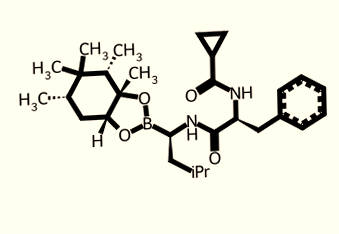 CC(C)C[C@H](NC(=O)[C@H](Cc1ccccc1)NC(=O)C1CC1)B1O[C@@H]2C[C@H](C)C(C)(C)[C@H](C)[C@]2(C)O1